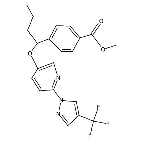 CCCC(Oc1ccc(-n2cc(C(F)(F)F)cn2)nc1)c1ccc(C(=O)OC)cc1